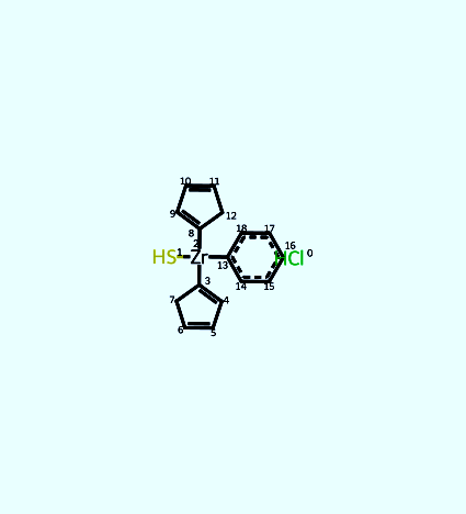 Cl.[SH][Zr]([C]1=CC=CC1)([C]1=CC=CC1)[c]1ccccc1